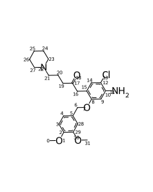 COc1ccc(COc2cc(N)c(Cl)cc2CC(=O)CCCN2CCCCC2)cc1OC